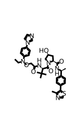 CCN(OCC(=O)N[C@H](C(=O)N1C[C@H](O)C[C@H]1C(=O)N[C@@H](C)c1ccc(-c2scnc2C)cc1)C(C)(C)C)c1ccc(-n2ccnc2)cc1